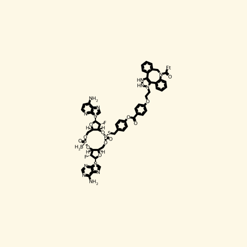 B[P@]1(=O)OC[C@H]2O[C@@H](n3cnc4c(N)ccnc43)[C@H](F)[C@@H]2O[P@@](=O)(SCc2ccc(OC(=O)c3ccc(OCCN4NNC5=C4c4ccccc4N(C(=O)CC)Cc4ccccc45)cc3)cc2)OC[C@H]2O[C@@H](n3cnc4c(N)ncnc43)[C@H](F)[C@@H]2O1